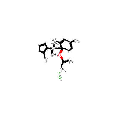 CC1=CCC(OC(C)C)([Si](C)(C)C2=[C]([Ti+2])CC=C2)C(C)=C1.[Cl-].[Cl-]